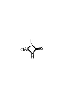 S=C1[NH][Al]([Cl])[NH]1